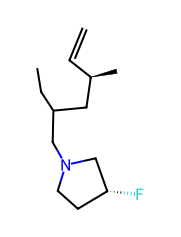 C=C[C@@H](C)CC(CC)CN1CC[C@@H](F)C1